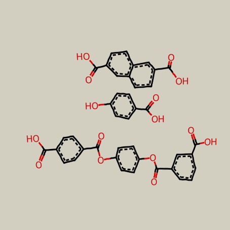 O=C(O)c1ccc(C(=O)Oc2ccc(OC(=O)c3cccc(C(=O)O)c3)cc2)cc1.O=C(O)c1ccc(O)cc1.O=C(O)c1ccc2cc(C(=O)O)ccc2c1